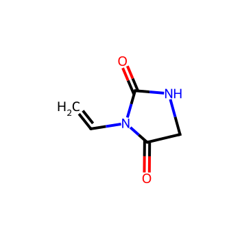 C=CN1C(=O)CNC1=O